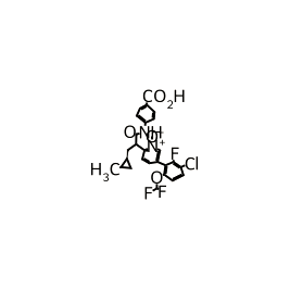 C[C@H]1C[C@@H]1CC(C(=O)Nc1ccc(C(=O)O)cc1)c1ccc(-c2c(OC(F)F)ccc(Cl)c2F)c[n+]1[O-]